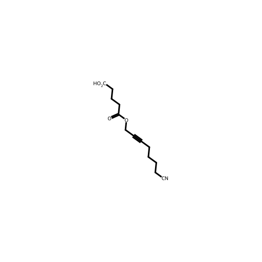 N#CCCCCC#CCOC(=O)CCCC(=O)O